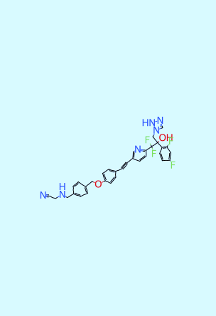 N#CCNCc1ccc(COc2ccc(C#Cc3ccc(C(F)(F)C(O)(Cn4cn[nH]4)c4ccc(F)cc4F)nc3)cc2)cc1